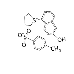 Cc1ccc(S(=O)(=O)[O-])cc1.Oc1ccc2c([S+]3CCCC3)cccc2c1